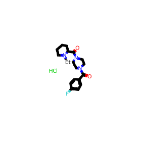 CCN1CCCCC1C(=O)N1CCN(C(=O)c2ccc(F)cc2)CC1.Cl